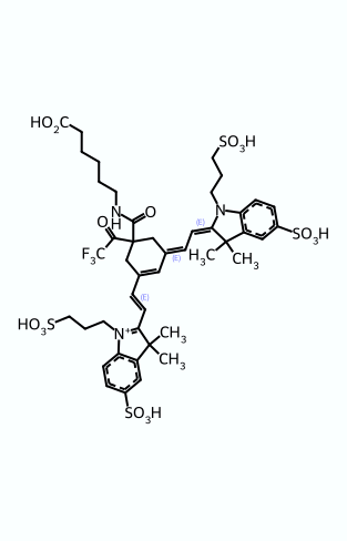 CC1(C)C(/C=C/C2=CC(=C/C=C3/N(CCCS(=O)(=O)O)c4ccc(S(=O)(=O)O)cc4C3(C)C)/CC(C(=O)NCCCCCC(=O)O)(C(=O)C(F)(F)F)C2)=[N+](CCCS(=O)(=O)O)c2ccc(S(=O)(=O)O)cc21